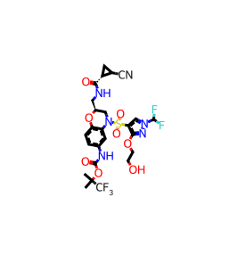 CC(C)(OC(=O)Nc1ccc2c(c1)N(S(=O)(=O)c1cn(C(F)F)nc1OCCO)C[C@H](CNC(=O)[C@@H]1CC1C#N)O2)C(F)(F)F